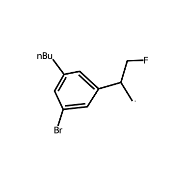 [CH2]C(CF)c1cc(Br)cc(CCCC)c1